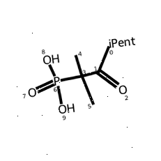 CCCC(C)C(=O)C(C)(C)P(=O)(O)O